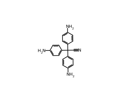 N#CC(c1ccc(N)cc1)(c1ccc(N)cc1)c1ccc(N)cc1